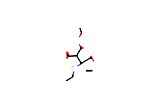 CCOC(=O)C(C(=O)O)[C@@](CC)(C(=O)O)N(O)CC